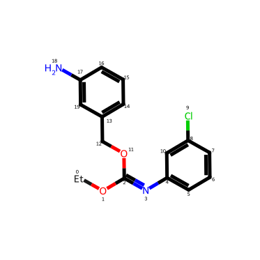 CCOC(=Nc1cccc(Cl)c1)OCc1cccc(N)c1